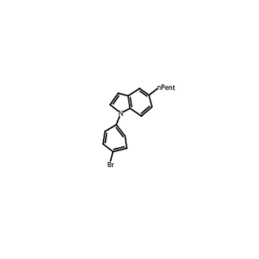 CCCCCc1ccc2c(ccn2-c2ccc(Br)cc2)c1